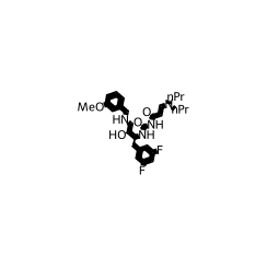 CCCN(CCC)CCC(=O)NC(=O)N[C@@H](Cc1cc(F)cc(F)c1)[C@H](O)CNCc1cccc(OC)c1